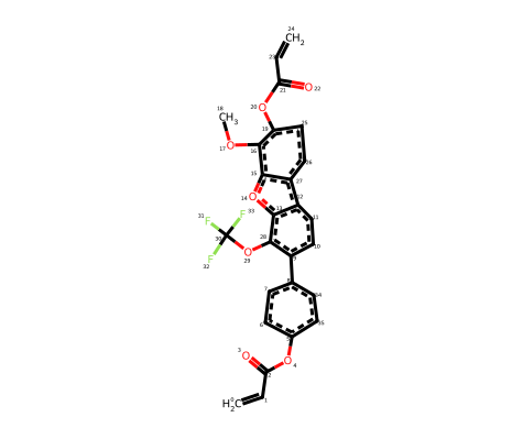 C=CC(=O)Oc1ccc(-c2ccc3c(oc4c(OC)c(OC(=O)C=C)ccc43)c2OC(F)(F)F)cc1